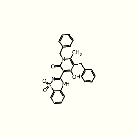 Cc1c(Cc2ccccc2)c(O)c(C2=NS(=O)(=O)c3ccccc3N2)c(=O)n1Cc1ccccc1